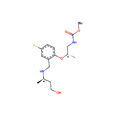 C[C@H](CCO)NCc1cc(F)ccc1O[C@@H](C)CNC(=O)OC(C)(C)C